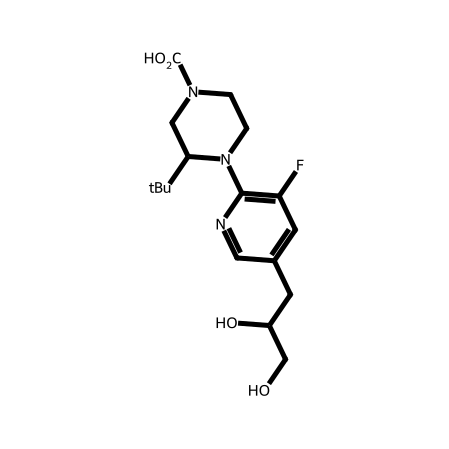 CC(C)(C)C1CN(C(=O)O)CCN1c1ncc(CC(O)CO)cc1F